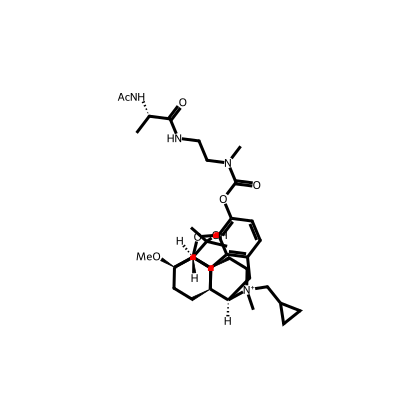 CO[C@]12CC[C@@]3(C[C@@H]1C(C)(C)O)[C@H]1Cc4ccc(OC(=O)N(C)CCNC(=O)[C@H](C)NC(C)=O)c5c4[C@@]3(CC[N+]1(C)CC1CC1)[C@H]2O5